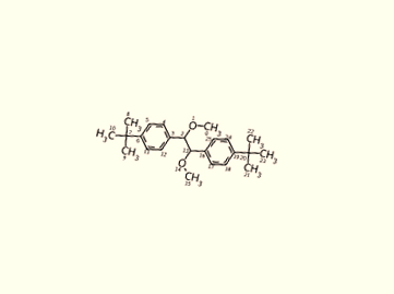 COC(c1ccc(C(C)(C)C)cc1)C(OC)c1ccc(C(C)(C)C)cc1